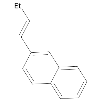 [CH2]CC=Cc1ccc2ccccc2c1